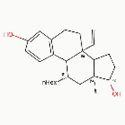 C=C[C@@]12CCc3cc(O)ccc3C1[C@@H](CCCCCC)C[C@@]1(C)C2CC[C@@H]1O